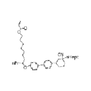 C=CC(=O)OCCCCCCCC(CCC)Oc1ccc(-c2ccc(C3CCCC(C#N)(CCCCCCC)C3)cc2)cc1